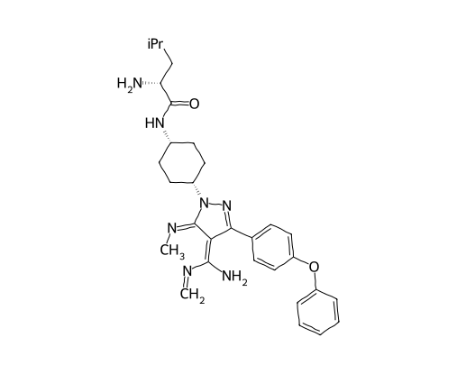 C=N/C(N)=C1/C(c2ccc(Oc3ccccc3)cc2)=NN([C@H]2CC[C@@H](NC(=O)[C@H](N)CC(C)C)CC2)/C1=N/C